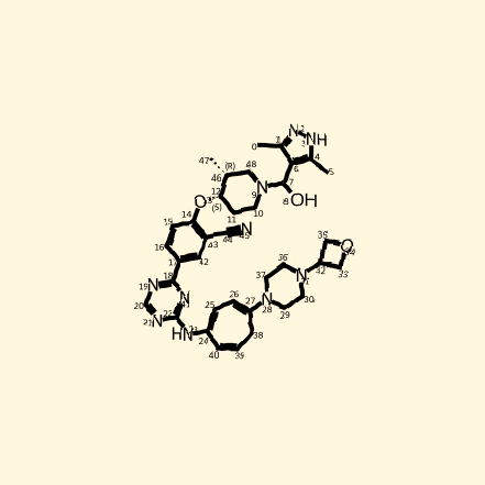 Cc1n[nH]c(C)c1C(O)N1CC[C@H](Oc2ccc(-c3ncnc(NC4=CC=C(N5CCN(C6COC6)CC5)CC=C4)n3)cc2C#N)[C@H](C)C1